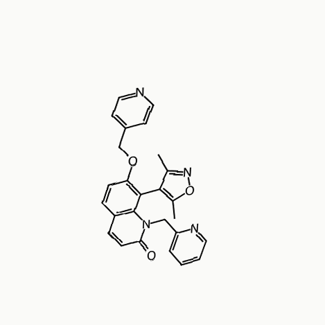 Cc1noc(C)c1-c1c(OCc2ccncc2)ccc2ccc(=O)n(Cc3ccccn3)c12